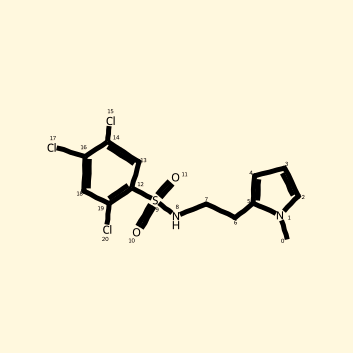 Cn1cccc1CCNS(=O)(=O)c1cc(Cl)c(Cl)cc1Cl